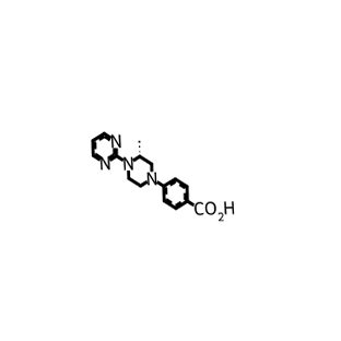 C[C@@H]1CN(c2ccc(C(=O)O)cc2)CCN1c1ncccn1